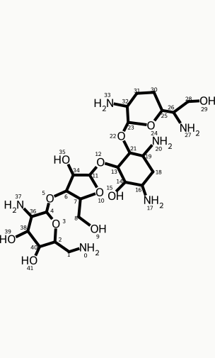 NCC1OC(OC2C(CO)OC(OC3C(O)C(N)CC(N)C3OC3OC(C(N)CO)CCC3N)C2O)C(N)C(O)C1O